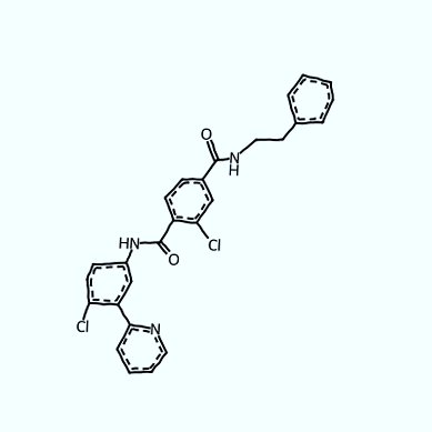 O=C(NCCc1ccccc1)c1ccc(C(=O)Nc2ccc(Cl)c(-c3ccccn3)c2)c(Cl)c1